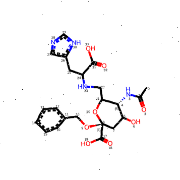 CC(=O)N[C@@H]1C(O)C[C@](OCc2ccccc2)(C(=O)O)OC1CNC(Cc1cnc[nH]1)C(=O)O